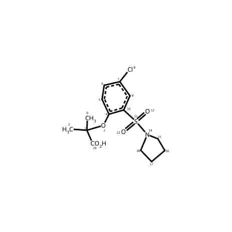 CC(C)(Oc1ccc(Cl)cc1S(=O)(=O)N1CCCC1)C(=O)O